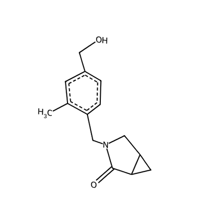 Cc1cc(CO)ccc1CN1CC2CC2C1=O